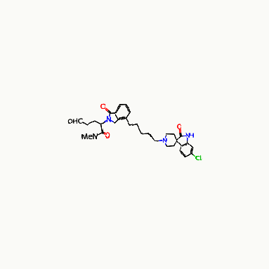 CNC(=O)C(CCC=O)N1Cc2c(CCCCCN3CCC4(CC3)C(=O)Nc3cc(Cl)ccc34)cccc2C1=O